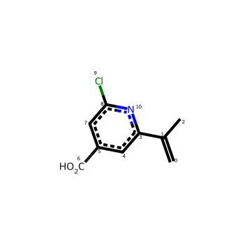 C=C(C)c1cc(C(=O)O)cc(Cl)n1